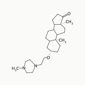 CN1CCN(CCO[C@H]2CC[C@@]3(C)C(CCC4C3CC[C@]3(C)C(=O)CCC43)C2)CC1